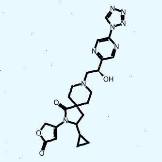 O=C1C=C(N2C(=O)C3(CCN(C[C@H](O)c4cnc(-n5cnnn5)cn4)CC3)CC2C2CC2)CO1